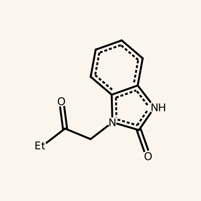 CCC(=O)Cn1c(=O)[nH]c2ccccc21